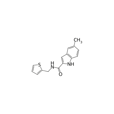 Cc1ccc2[nH]c(C(=O)NCc3cccs3)cc2c1